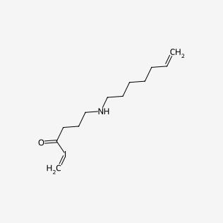 C=CCCCCCNCCCC(=O)I=C